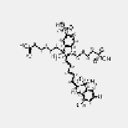 CC1(CCCCCC(=O)O)C(/C=C/C=C/C=C2/Nc3c(Cl)cc(Cl)cc3C2(C)C)=[N+](CCCCS(=O)(=O)O)c2ccc(S(=O)(=O)O)cc21